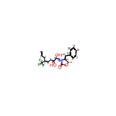 C=CC/C(=C\C[C@H](O)[C@H](O)N1C(=O)OCC1Cc1ccccc1)C(F)(F)F